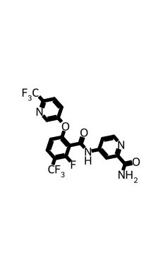 NC(=O)c1cc(NC(=O)c2c(Oc3ccc(C(F)(F)F)nc3)ccc(C(F)(F)F)c2F)ccn1